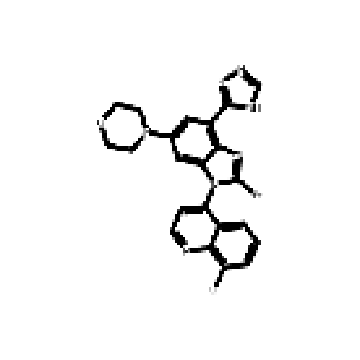 CCc1nc2c(-c3nnc[nH]3)cc(N3CCOCC3)cc2n1-c1ccnc2c(Cl)cccc12